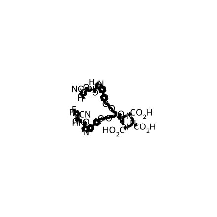 N#C[C@@H]1CC(F)(F)CN1C(=O)CNC(=O)c1ccnc2ccc(-c3ccc(OCCOCCN(CCOCCOc4ccc(-c5ccc6nccc(C(=O)NCC(=O)N7CC(F)(F)C[C@H]7C#N)c6c5)cc4)C(=O)CN4CCN(CC(=O)O)CCN(CC(=O)O)CCN(CC(=O)O)CC4)cc3)cc12